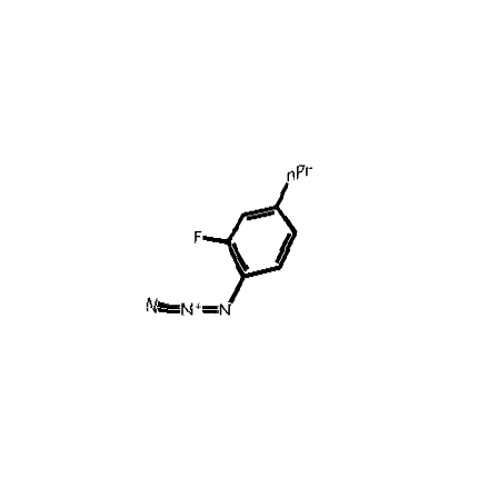 CCCc1ccc(N=[N+]=[N-])c(F)c1